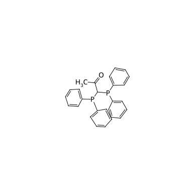 CC(=O)C(P(c1ccccc1)c1ccccc1)P(c1ccccc1)c1ccccc1